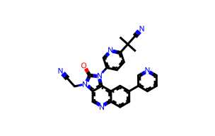 CC(C)(C#N)c1ccc(-n2c(=O)n(CC#N)c3cnc4ccc(-c5cccnc5)cc4c32)cn1